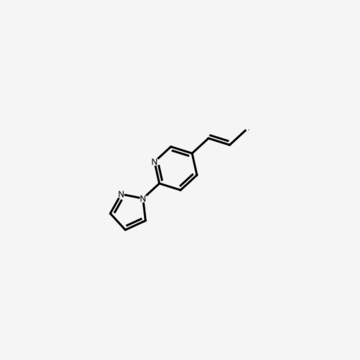 [CH2]/C=C/c1ccc(-n2cccn2)nc1